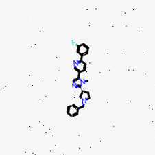 Cn1c(-c2ccc(-c3cccc(F)c3)nc2)cnc1[C@@H]1CCN(Cc2ccccc2)C1